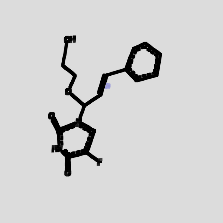 O=c1[nH]c(=O)n(C(/C=C/c2ccccc2)OCCO)cc1F